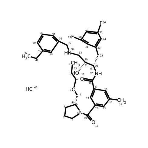 CCCOC[C@H]1CCCN1C(=O)c1cc(C)cc(C(=O)N[C@@H](Cc2cc(F)cc(F)c2)[C@H](O)CNCc2cccc(CC)c2)c1.Cl